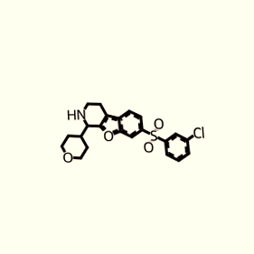 O=S(=O)(c1cccc(Cl)c1)c1ccc2c3c(oc2c1)C(C1CCOCC1)NCC3